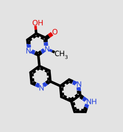 Cn1c(-c2ccnc(-c3cnc4[nH]ccc4c3)c2)ncc(O)c1=O